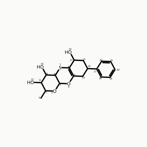 CC1OC2OC3=C(SC2C(O)C1O)C(O)CC(c1ccccc1)C3